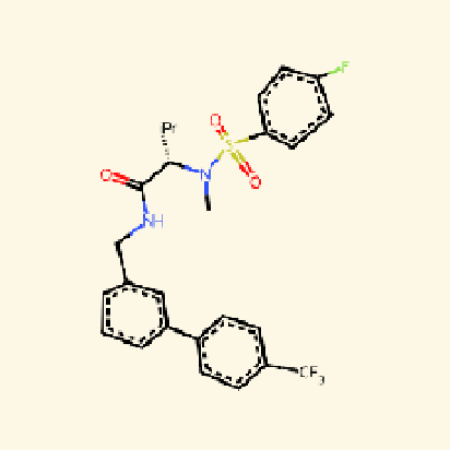 CC(C)[C@@H](C(=O)NCc1cccc(-c2ccc(C(F)(F)F)cc2)c1)N(C)S(=O)(=O)c1ccc(F)cc1